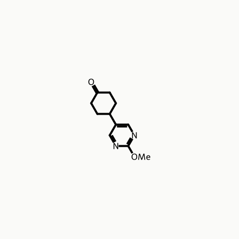 COc1ncc(C2CCC(=O)CC2)cn1